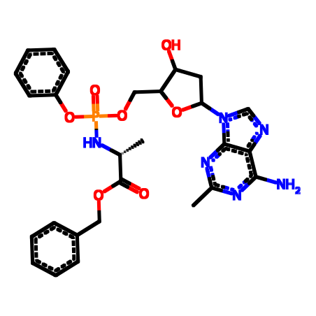 Cc1nc(N)c2ncn(C3CC(O)C(COP(=O)(N[C@H](C)C(=O)OCc4ccccc4)Oc4ccccc4)O3)c2n1